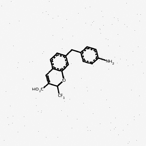 Nc1ccc(Cc2ccc3c(c2)OC(C(F)(F)F)C(C(=O)O)=C3)cc1